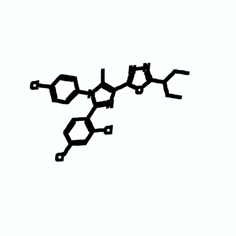 CCC(CC)c1nnc(-c2nc(-c3ccc(Cl)cc3Cl)n(-c3ccc(Cl)cc3)c2C)o1